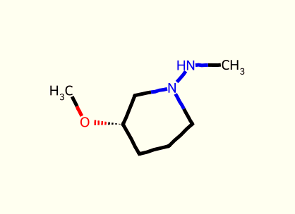 CNN1CCC[C@H](OC)C1